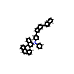 c1ccc(N(c2ccc(-c3ccc4ccc(-c5ccc6ccccc6c5)cc4c3)cc2)c2ccc(-c3cccc4ccc5ccccc5c34)c3ccccc23)cc1